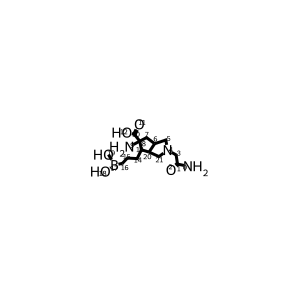 NC(=O)CN1CC2CC(N)(C(=O)O)C(CCCB(O)O)C2C1